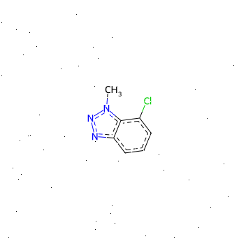 Cn1nnc2cccc(Cl)c21